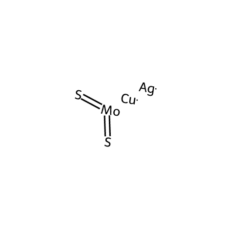 [Ag].[Cu].[S]=[Mo]=[S]